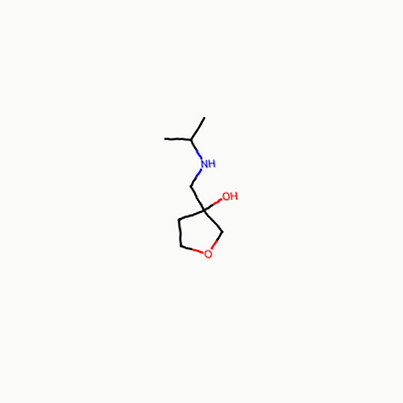 CC(C)NCC1(O)CCOC1